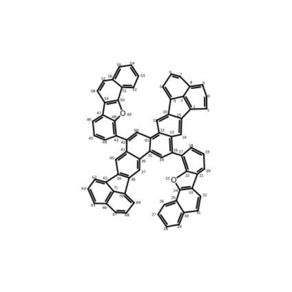 c1cc2c3c(cccc3c1)-c1cc3c(cc1-2)c(-c1cccc2c1oc1c4ccccc4ccc21)cc1c2cc4c(cc2c(-c2cccc5c2oc2c6ccccc6ccc52)cc31)-c1cccc2cccc-4c12